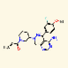 C=CC(=O)N1CCCC(N(C)/N=C(/c2ccc(OCC)c(F)c2)c2cncnc2N)C1